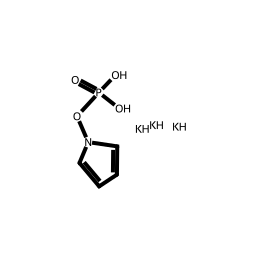 O=P(O)(O)On1cccc1.[KH].[KH].[KH]